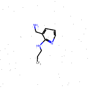 NCc1cccnc1NCCC(F)(F)F